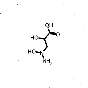 NN(O)CC(O)C(=O)O